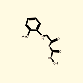 COc1ccccc1NCC(=O)OC(=O)NO